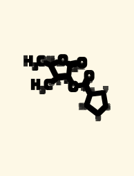 CC1=C(OC(=O)C2CCCC2)C(=O)OC1C